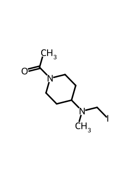 CC(=O)N1CCC(N(C)CI)CC1